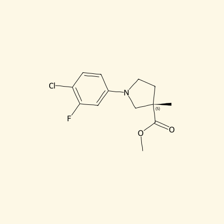 COC(=O)[C@@]1(C)CCN(c2ccc(Cl)c(F)c2)C1